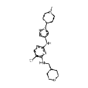 CN1CCC(n2cc(Nc3ncc(Cl)c(NCC4CCOCC4)n3)cn2)CC1